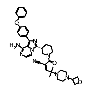 CC(C)(/C=C(/C#N)C(=O)N1CCC[C@@H](c2nc(-c3ccc(Oc4ccccc4)cc3)c3c(N)nccn23)C1)N1CCN(C2COC2)CC1